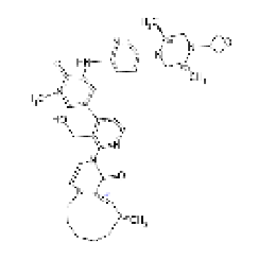 C=C1/C=C2/C(=O)N(c3nccc(-c4cc(Nc5ccc(N6C[C@@H](C)N(C7COC7)C[C@@H]6C)cn5)c(=O)n(C)c4)c3CO)C=CN2CCCCC1